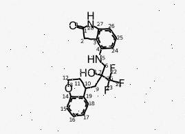 O=C1Cc2c(NCC(O)(CC3CCOc4ccccc43)C(F)(F)F)cccc2N1